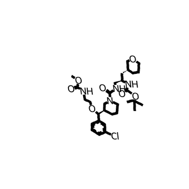 COC(=O)NCCOC(c1cccc(Cl)c1)[C@@H]1CCCN(C(=O)NC[C@@H](C[C@H]2CCCOC2)NC(=O)OC(C)(C)C)C1